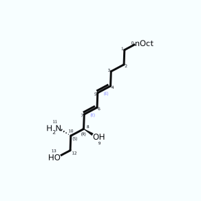 CCCCCCCCCCC/C=C/C=C/[C@@H](O)[C@@H](N)CO